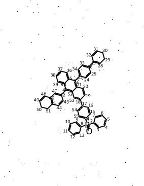 O=P(c1ccccc1)(c1ccccc1)c1ccc(-c2ccc3c(-c4ccc(C5=CCCC=C5)cc4)c4ccccc4c(-c4ccc5c(c4)C=CCC5)c3c2)cc1